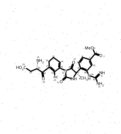 COC(=O)c1ccc([C@@]2(C)NC(=O)N(C3=CC[CH]C(C(=O)[C@@H](N)CC(=O)O)=C3C(C)=O)C2=O)c(NC(=N)N)c1